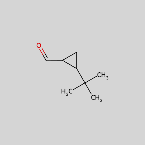 CC(C)(C)C1CC1C=O